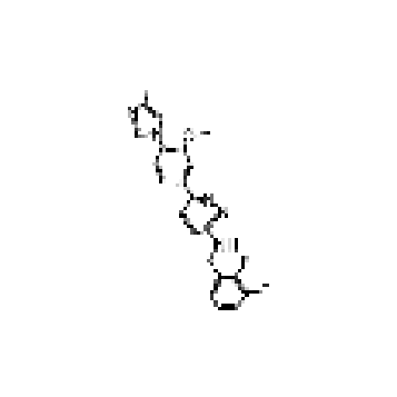 COc1cc(-c2ccc(NCc3cccc(F)c3F)nn2)ccc1-n1cnc(C)c1